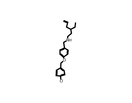 C=CCC(CC)CCNCc1ccc(OCc2ccc(Cl)cc2)cc1